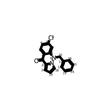 O=c1c2ccc(Cl)cc2n(Cc2ccccc2)n2cccc12